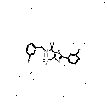 O=C(NCc1cccc(F)c1)c1sc(-c2cccc(F)c2)nc1C(F)(F)F